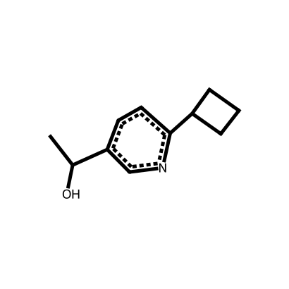 CC(O)c1ccc(C2CCC2)nc1